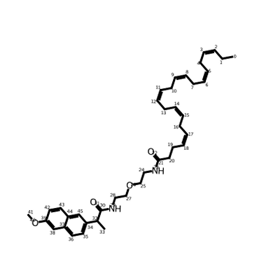 CC/C=C\C/C=C\C/C=C\C/C=C\C/C=C\C/C=C\CCC(=O)NCCOCCNC(=O)C(C)c1ccc2cc(OC)ccc2c1